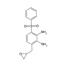 Nc1c(CC2CO2)ccc(S(=O)(=O)c2ccccc2)c1N